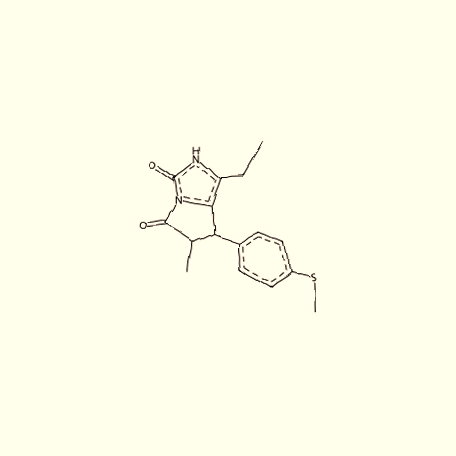 CCc1[nH]c(=O)n2c1C(c1ccc(SC)cc1)C(C)C2=O